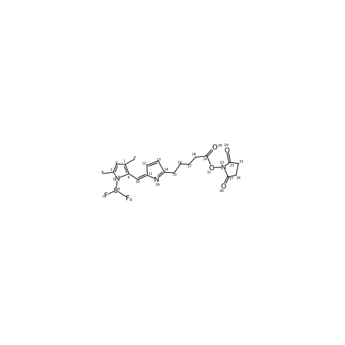 Cc1cc(C)n(B(F)F)c1C=C1C=CC(CCCCC(=O)ON2C(=O)CCC2=O)=N1